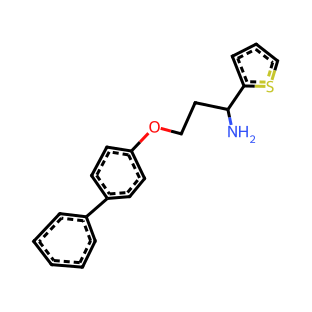 NC(CCOc1ccc(-c2ccccc2)cc1)c1cccs1